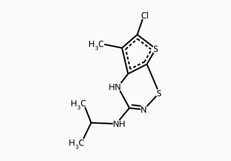 Cc1c(Cl)sc2c1NC(NC(C)C)=NS2